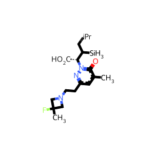 Cc1cc(CCN2CC(C)(F)C2)nn([C@H](C(=O)O)C([SiH3])CC(C)C)c1=O